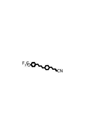 N#CC=CCCC1CCC(CCCCc2ccc(OC(F)(F)F)cc2)CC1